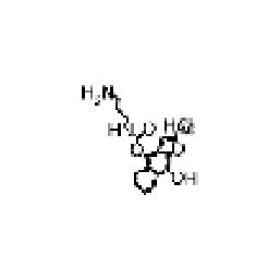 CC(=O)c1cc2c(OC(=O)NCCCN)c3ccccc3c(O)c2o1.Cl